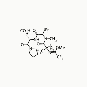 CO/C(=N\C(C)(C)C(=O)N(C)C(C(=O)N[C@@H](CC(=O)O)C(=O)N1CCCC1)C(C)C)C(F)(F)F